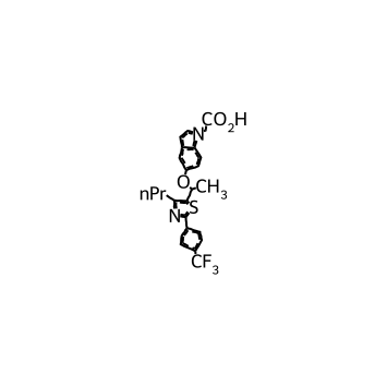 CCCc1nc(-c2ccc(C(F)(F)F)cc2)sc1C(C)Oc1ccc2c(ccn2CC(=O)O)c1